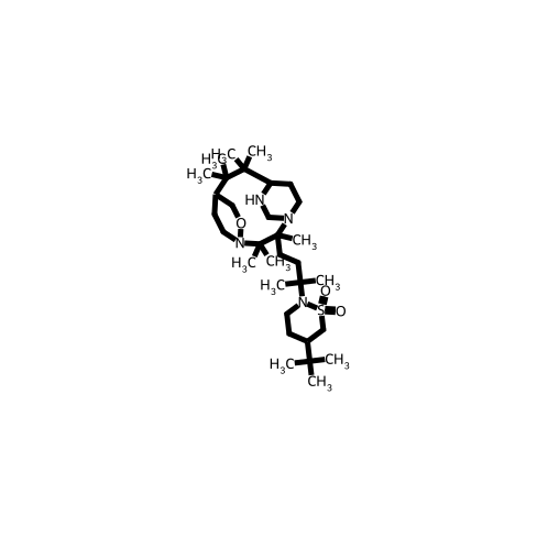 CC(C)(C)C1CCN(C(C)(C)CCC2(C)N3CCC(NC3)C(C)(C)C(C)(C)C3CCN(OC3)C2(C)C)S(=O)(=O)C1